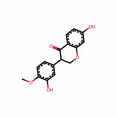 COc1ccc(C2COc3cc(O)ccc3C2=O)cc1O